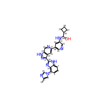 Cc1cn(-c2cccc3[nH]c(-c4n[nH]c5cnc(-c6cncc(NC(O)C7CCC7)c6)cc45)nc23)cn1